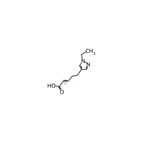 CCn1cc(CC/C=C/C(=O)O)cn1